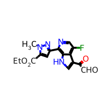 CCOC(=O)c1cc(-c2ncc(F)c3c(C(=O)C=O)c[nH]c23)nn1C